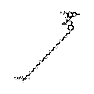 CCCCc1nc2c(N)nc3cc(C)sc3c2n1CC1CCN(CCOCCOCCOCCOCCOCCOCCOCCOCCNC(=O)OC(C)(C)C)CC1